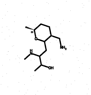 CNC(CC1O[C@H](C)CCC1CN)C(C)O